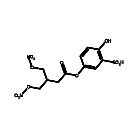 O=C(CC(CO[N+](=O)[O-])CO[N+](=O)[O-])Oc1ccc(O)c(S(=O)(=O)O)c1